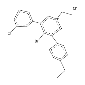 CCc1ccc(-c2c[n+](CC)cc(-c3cccc(Cl)c3)c2Br)cc1.[Cl-]